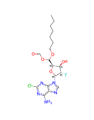 CCCCCCCOC(OC=O)[C@@H]1O[C@@H](n2cnc3c(N)nc(Cl)nc32)[C@@H](F)[C@@H]1O